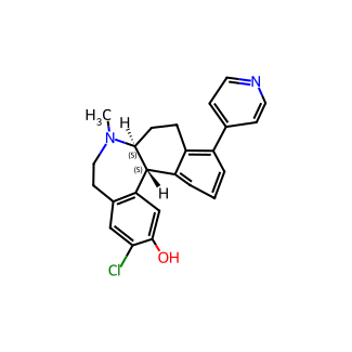 CN1CCc2cc(Cl)c(O)cc2[C@H]2c3cccc(-c4ccncc4)c3CC[C@@H]21